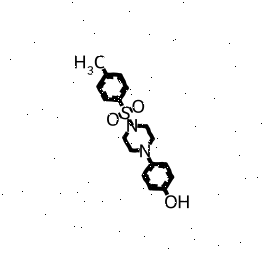 Cc1ccc(S(=O)(=O)N2CCN(c3ccc(O)cc3)CC2)cc1